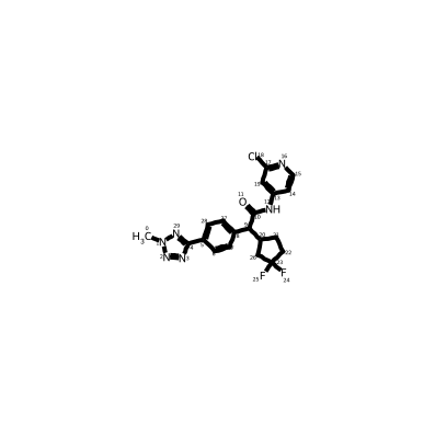 Cn1nnc(-c2ccc(C(C(=O)Nc3ccnc(Cl)c3)C3CCC(F)(F)C3)cc2)n1